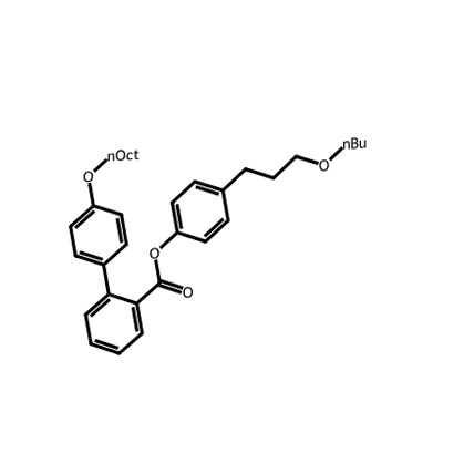 CCCCCCCCOc1ccc(-c2ccccc2C(=O)Oc2ccc(CCCOCCCC)cc2)cc1